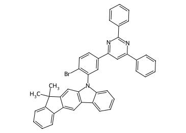 CC1(C)c2ccccc2-c2cc3c4ccccc4n(-c4cc(-c5cc(-c6ccccc6)nc(-c6ccccc6)n5)ccc4Br)c3cc21